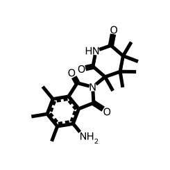 Cc1c(C)c(N)c2c(c1C)C(=O)N(C1(C)C(=O)NC(=O)C(C)(C)C1(C)C)C2=O